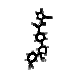 O=C(NC1CONC1=O)c1ccc(N2CCC(c3cccc(C(F)(F)F)c3)(C(F)(F)F)C2)cn1